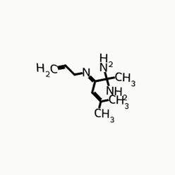 C=CC/N=C(\C=C(C)C)C(C)(N)N